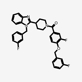 O=C(c1ccc(OCc2cccc(F)c2)c(F)c1)N1CCC(c2nc3ccccc3n2Cc2cccc(F)c2)CC1